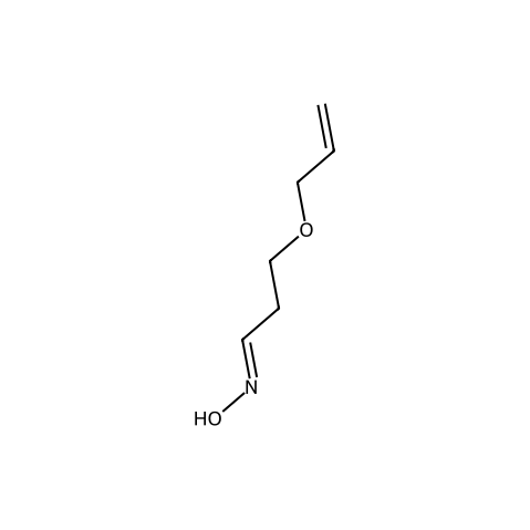 C=CCOCCC=NO